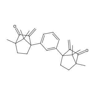 C=C1C(=O)C2(C)CCC1(c1cccc(C34CCC(C)(C(=O)C3=C)C4(C)C)c1)C2(C)C